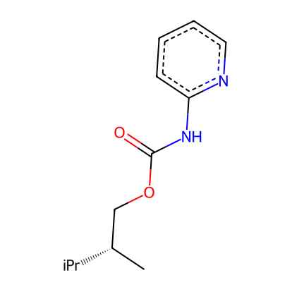 CC(C)[C@@H](C)COC(=O)Nc1ccccn1